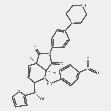 O=C1[C@@H]2[C@@H](C=CC([C@H](O)c3cccs3)N2Nc2ccc([N+](=O)[O-])cc2)C(=O)N1c1ccc(N2CCNCC2)cc1